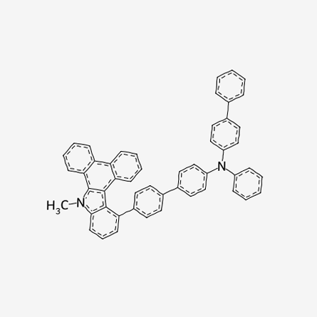 Cn1c2cccc(-c3ccc(-c4ccc(N(c5ccccc5)c5ccc(-c6ccccc6)cc5)cc4)cc3)c2c2c3ccccc3c3ccccc3c21